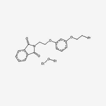 CC(C)CCOc1cccc(OCCN2C(=O)c3ccccc3C2=O)c1.CCOCC